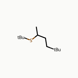 CC(CCC(C)(C)C)SC(C)(C)C